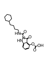 O=C(O)Oc1cccc2[nH]n(C(=O)NCCCCC3CCCCC3)c(=O)c12